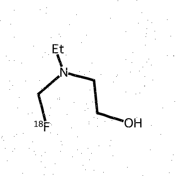 CCN(C[18F])CCO